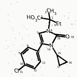 CCC(C)(C(=O)O)n1cc(-c2ccc(Cl)cc2)n(C2CC2)c1=O